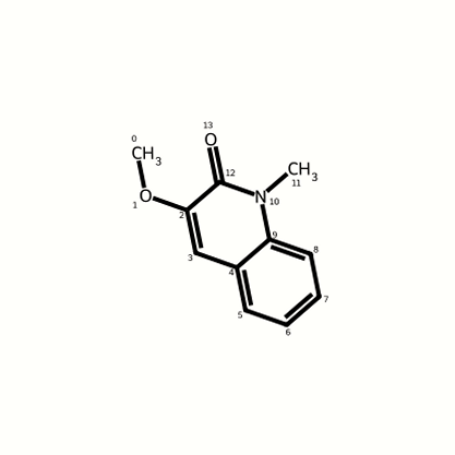 COc1cc2ccccc2n(C)c1=O